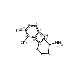 NC1CCCc2c1[nH]c1ccc(Cl)c(Cl)c21